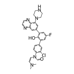 CN(C)/C=C\N(C=O)c1ccc(-c2cc(F)cc(-c3cc(N4CCNCC4)c4nccnc4c3)c2O)cc1Cl